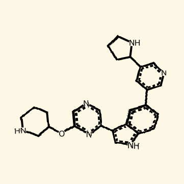 c1cc2[nH]cc(-c3cncc(OC4CCCNC4)n3)c2cc1-c1cncc(C2CCCN2)c1